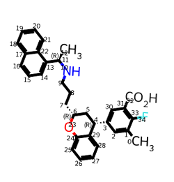 Cc1cc([C@H]2C[C@@H](CCCN[C@H](C)c3cccc4ccccc34)Oc3ccccc32)cc(C(=O)O)c1F